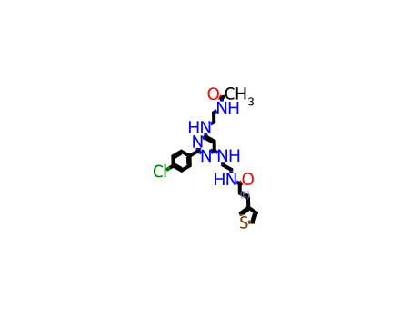 CC(=O)NCCNc1cc(NCCNC(=O)/C=C/c2ccsc2)nc(-c2ccc(Cl)cc2)n1